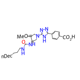 CCCCCCCCCCCCCNC(=O)N[C@H]1CN(c2nnc(-c3ccc(C(=O)O)cc3)[nH]2)C[C@@H]1OC